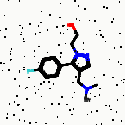 CCCN(C)Cc1cnn(CCO)c1-c1ccc(F)cc1